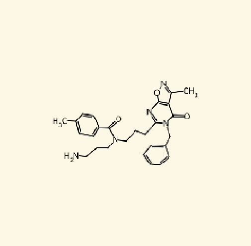 Cc1ccc(C(=O)N(CCCN)CCCc2nc3onc(C)c3c(=O)n2Cc2ccccc2)cc1